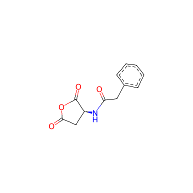 O=C(Cc1ccccc1)N[C@H]1CC(=O)OC1=O